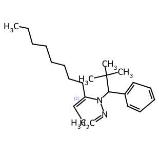 C=NN(/C(=C\C)CCCCCCCC)C(c1ccccc1)C(C)(C)C